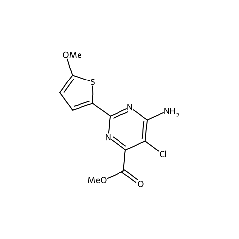 COC(=O)c1nc(-c2ccc(OC)s2)nc(N)c1Cl